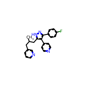 CC(Cc1cccnc1)Cc1[nH]nc(-c2ccc(F)cc2)c1-c1ccncc1